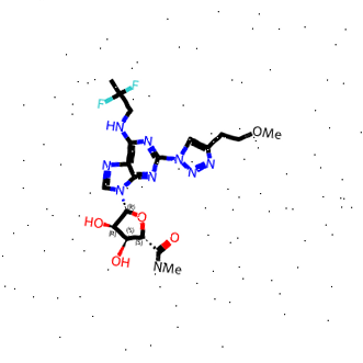 CNC(=O)[C@H]1O[C@@H](n2cnc3c(NCC(C)(F)F)nc(-n4cc(CCOC)nn4)nc32)[C@H](O)[C@@H]1O